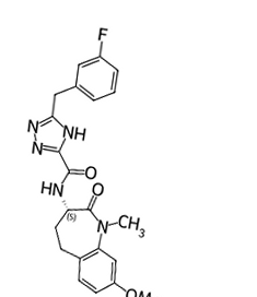 COc1ccc2c(c1)N(C)C(=O)[C@@H](NC(=O)c1nnc(Cc3cccc(F)c3)[nH]1)CC2